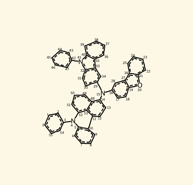 c1ccc(N2c3ccccc3-c3ccc(N(c4ccc5oc6ccccc6c5c4)c4ccc5c(c4)c4ccccc4n5-c4ccccc4)c4cccc2c34)cc1